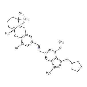 COc1cc(/C=C/c2cc(O)c3c(c2)C[C@@H]2C(C)(C)CCC[C@@]2(C)O3)cc2c1c(CN1CCCC1)cn2C